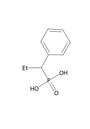 CCC(c1ccccc1)P(=O)(O)O